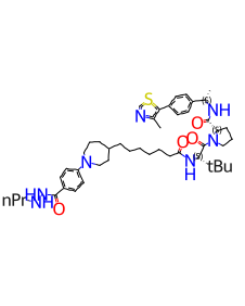 CCCNNC(=O)c1ccc(N2CCCC(CCCCCCC(=O)N[C@H](C(=O)N3CCC[C@H]3C(=O)N[C@@H](C)c3ccc(-c4scnc4C)cc3)C(C)(C)C)CC2)cc1